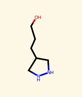 OCCCC1CNNC1